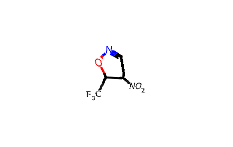 O=[N+]([O-])C1C=NOC1C(F)(F)F